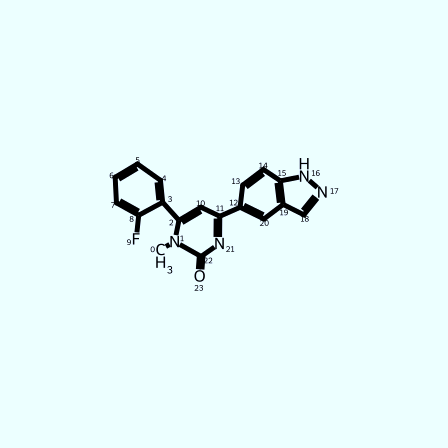 Cn1c(-c2ccccc2F)cc(-c2ccc3[nH]ncc3c2)nc1=O